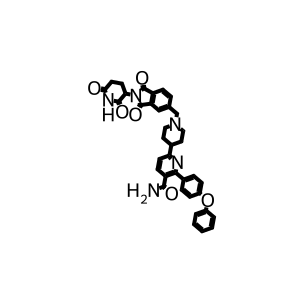 NC(=O)c1ccc(C2CCN(Cc3ccc4c(c3)C(=O)N(C3CCC(=O)NC3=O)C4=O)CC2)nc1-c1ccc(Oc2ccccc2)cc1